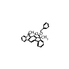 Cn1c2ccccc2c2cc3c(cc21)C(C)(C(=O)OCc1ccccc1)c1ccccc1-3